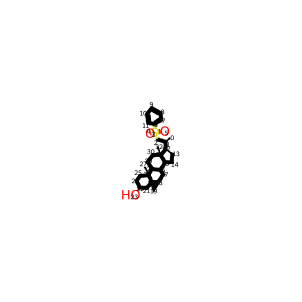 C[C@H](CS(=O)(=O)c1ccccc1)[C@H]1CCC2C3CC4=CC45C[C@@H](O)CC[C@]5(C)C3CC[C@@]21C